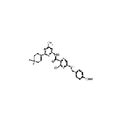 COc1ccc(CNc2cnc(C(=O)Nc3cc(C)nc(N4CCC(F)(F)CC4)n3)c(Cl)n2)cc1